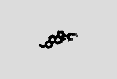 BCC(O)C1CCC2C3CCC4CC(CC)CCC4C3CCC12C